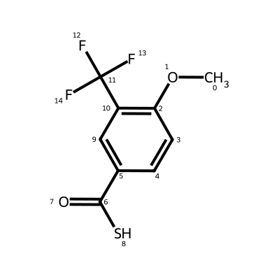 COc1ccc(C(=O)S)cc1C(F)(F)F